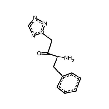 NC(Cc1ccccc1)C(=O)Cn1ncnn1